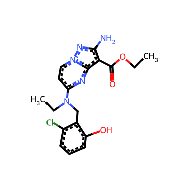 CCOC(=O)c1c(N)nn2ccc(N(CC)Cc3c(O)cccc3Cl)nc12